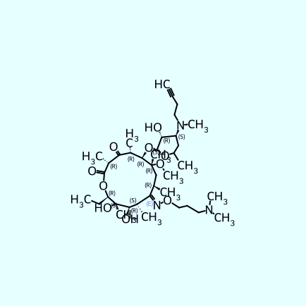 C#CCCN(C)[C@H]1CC(C)O[C@@H](O[C@@H]2[C@@H](C)C(=O)[C@@H](C)C(=O)O[C@H](CC)[C@@](C)(O)[C@H](O)[C@@H](C)/C(=N/OCCCN(C)C)[C@H](C)C[C@@]2(C)OC)[C@@H]1O